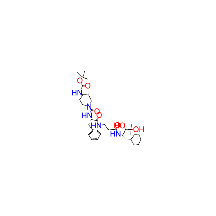 CC(C)(C)OC(=O)NC1CCN(C(=O)N[C@@H](Cc2ccccc2)C(=O)NCCC(=O)N[C@@H](CC2CCCCC2)[C@H](O)C(C)(C)O)CC1